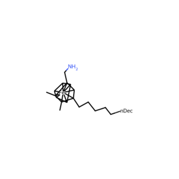 CCCCCCCCCCCCCCC[C]12[CH]3[C]4(CN)[C]5(C)[C]1(C)[Fe]34251678[CH]2[CH]1[CH]6[CH]7[CH]28